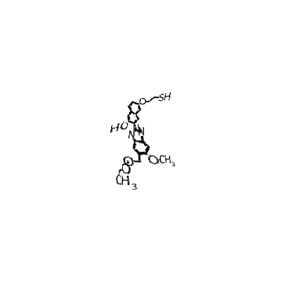 CCOOCc1cc2nn(-c3cc4cc(OCCS)ccc4cc3O)nc2cc1OC